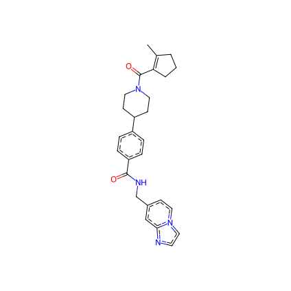 CC1=C(C(=O)N2CCC(c3ccc(C(=O)NCc4ccn5ccnc5c4)cc3)CC2)CCC1